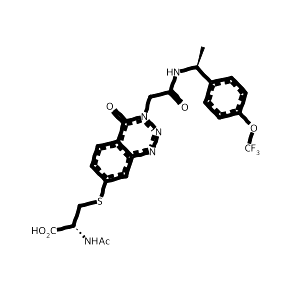 CC(=O)N[C@@H](CSc1ccc2c(=O)n(CC(=O)N[C@@H](C)c3ccc(OC(F)(F)F)cc3)nnc2c1)C(=O)O